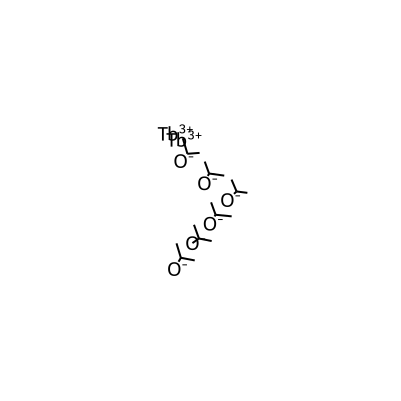 CC(C)[O-].CC(C)[O-].CC(C)[O-].CC(C)[O-].CC(C)[O-].CC(C)[O-].[Tb+3].[Tb+3]